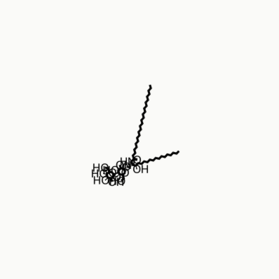 CCCCCCCCCCCCCCCCCCCCCCCCCC(=O)N[C@@H](CO[C@@H]1OC(CO)[C@@H](O[C@@H]2OC(CO)[C@H](O)[C@H](O)C2O)[C@H](O)C1O)[C@H](O)CCCCCCCCCCCCCCC